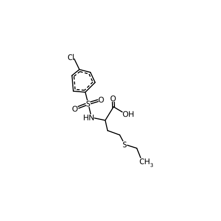 CCSCCC(NS(=O)(=O)c1ccc(Cl)cc1)C(=O)O